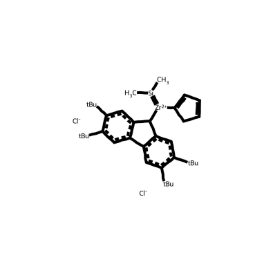 C[Si](C)=[Zr+2]([C]1=CC=CC1)[CH]1c2cc(C(C)(C)C)c(C(C)(C)C)cc2-c2cc(C(C)(C)C)c(C(C)(C)C)cc21.[Cl-].[Cl-]